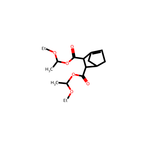 CCOC(C)OC(=O)C1C2=CCC(C2)C1C(=O)OC(C)OCC